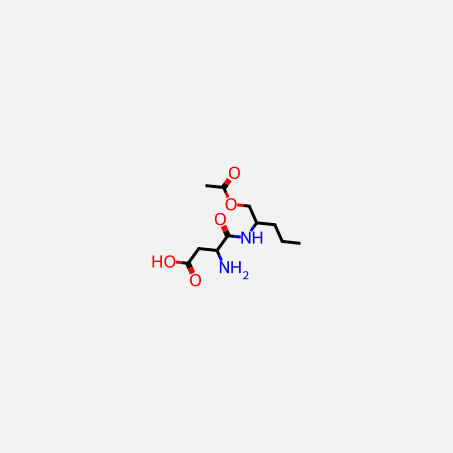 CCCC(COC(C)=O)NC(=O)C(N)CC(=O)O